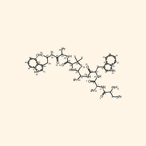 CC(C)CC(N)C(=O)NC(C(=O)NC(Cc1c[nH]c2ccccc12)C(=O)NC(C(C)C)C1NC(C(=O)NC(C(=O)NC(C=O)Cc2c[nH]c3ccccc23)C(C)C)C(C)(C)S1)C(C)C